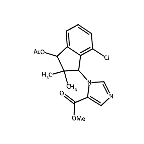 COC(=O)c1cncn1C1c2c(Cl)cccc2C(OC(C)=O)C1(C)C